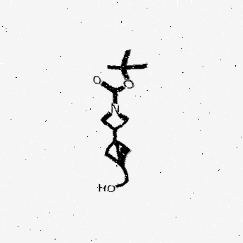 CC(C)(C)OC(=O)N1CC(C23CC(CO)(C2)C3)C1